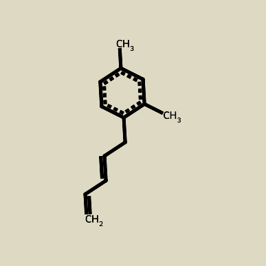 C=CC=CCc1ccc(C)cc1C